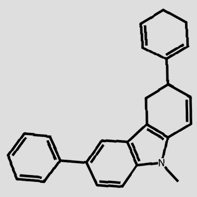 Cn1c2c(c3cc(-c4ccccc4)ccc31)CC(C1=CCCC=C1)C=C2